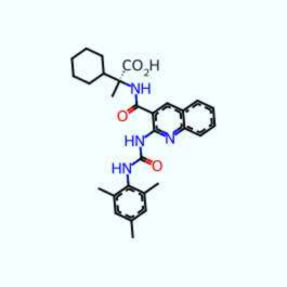 Cc1cc(C)c(NC(=O)Nc2nc3ccccc3cc2C(=O)N[C@](C)(C(=O)O)C2CCCCC2)c(C)c1